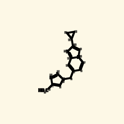 O=C(O)c1cn(Cc2ccn3cc(C4CC4)nc3c2)nn1